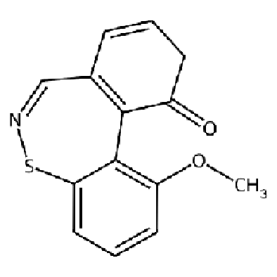 COc1cccc2c1C1=C(C=CCC1=O)C=NS2